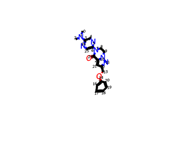 CN(C)c1cnc(N2CCn3nc(COc4ccccc4)cc3C2=O)cn1